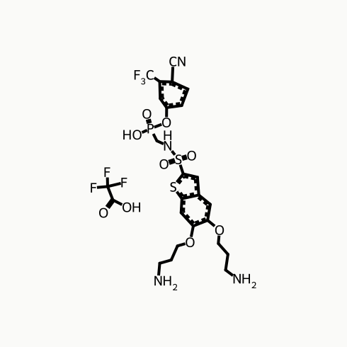 N#Cc1ccc(OP(=O)(O)CNS(=O)(=O)c2cc3cc(OCCCN)c(OCCCN)cc3s2)cc1C(F)(F)F.O=C(O)C(F)(F)F